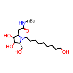 CCCCNC(=O)CC1[C@H](O)[C@H](O)[C@@H](CO)N1CCCCCCCCCO